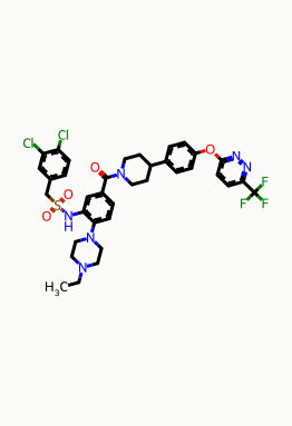 CCN1CCN(c2ccc(C(=O)N3CCC(c4ccc(Oc5ccc(C(F)(F)F)nn5)cc4)CC3)cc2NS(=O)(=O)Cc2ccc(Cl)c(Cl)c2)CC1